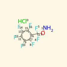 Cl.NOC(F)(F)c1c(F)c(F)c(F)c(F)c1F